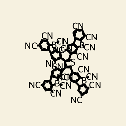 N#CB1c2c(C#N)cc(C#N)cc2-c2cc(C#N)c(-c3sc(-c4c(C#N)cc5c(c4C#N)B(C#N)c4c(C#N)cc(C#N)cc4-5)c(-c4c(C#N)cc5c(c4C#N)B(C#N)c4c(C#N)cc(C#N)cc4-5)c3-c3c(C#N)cc4c(c3C#N)B(C#N)c3c(C#N)cc(C#N)cc3-4)c(C#N)c21